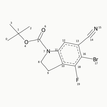 CC(C)(C)OC(=O)N1CCc2c1cc(C#N)c(Br)c2F